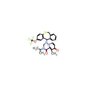 Cc1c2n(ccc1=O)N(C1c3ccccc3CSc3ccc(OC(F)(F)F)cc31)CN(C(C)C)C2=O